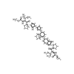 COC(=O)N[C@H](C(=O)N1CCC[C@H]1c1ncc(-c2ccc(-c3ccc(-c4ccc5nc([C@@H]6CCCN6C(=O)[C@@H](NC(=O)OC)C(C)C)[nH]c5c4)c4c3C3CCC4CC3)s2)[nH]1)C(C)C